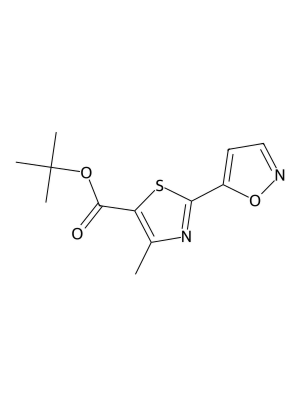 Cc1nc(-c2ccno2)sc1C(=O)OC(C)(C)C